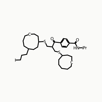 CC(C)NC(=O)c1ccc(C(=O)C(CSC2CCCCCCCC2)CSC2CCCCCCC(CCCI)CC2)cc1